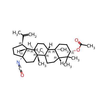 C=C(C)[C@@H]1CC[C@]2(N=C=O)CC[C@]3(C)[C@H](CC[C@@H]4[C@@]5(C)CC[C@H](OC(C)=O)C(C)(C)[C@@H]5CC[C@]43C)[C@@H]12